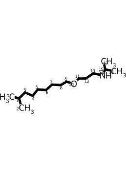 CC(C)CCCCCCCOCCCNC(C)C